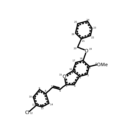 COc1cc2cc(C=Cc3ccc(Cl)cc3)oc2cc1OCc1ccccc1